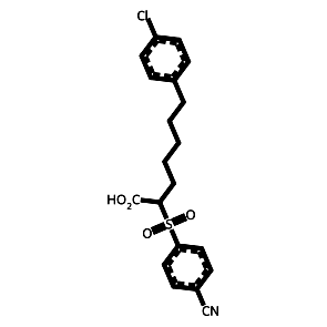 N#Cc1ccc(S(=O)(=O)C(CCCCCc2ccc(Cl)cc2)C(=O)O)cc1